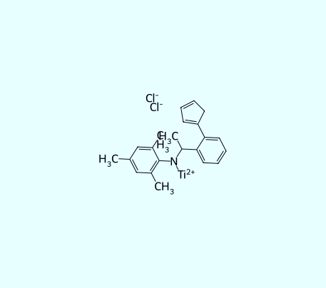 Cc1cc(C)c([N]([Ti+2])C(C)c2ccccc2C2=CC=CC2)c(C)c1.[Cl-].[Cl-]